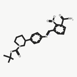 CC(C)(C)OC(=O)N1CCCC(c2ccc(/N=C/c3cccc(C(N)=O)c3[N+](=O)[O-])cc2)C1